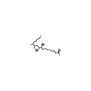 CCCCCC(C)C(C)CC(Br)C(Br)CCCCCCCC(C)=O